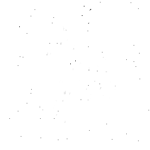 CCCc1cc(N)ccc1Oc1ccc(C2(c3ccc(Oc4ccc(N)cc4CCC)c(CCC)c3)c3ccccc3-c3ccccc32)cc1CCC